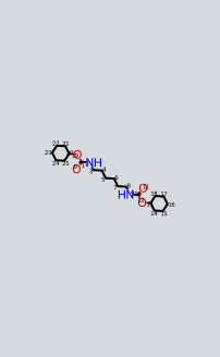 O=C(NCCCCCCNC(=O)OC1CCCCC1)OC1CCCCC1